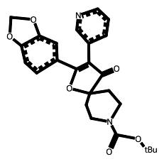 CC(C)(C)OC(=O)N1CCC2(CC1)OC(c1ccc3c(c1)OCO3)=C(c1cccnc1)C2=O